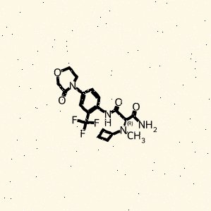 CN(C1CCC1)[C@H](C(N)=O)C(=O)Nc1ccc(N2CCOCC2=O)cc1C(F)(F)F